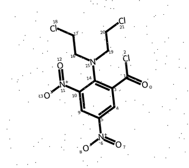 O=C(Cl)c1cc([N+](=O)[O-])cc([N+](=O)[O-])c1N(CCCl)CCCl